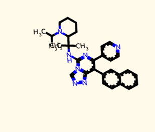 CC(C)N1CCCCC1C(C)(C)Nc1nc(-c2ccncc2)c(-c2ccc3ccccc3c2)c2nncn12